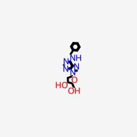 OCC1O[C@@H](n2cnc3c(NCc4ccccc4)ncnc32)C[C@H]1O